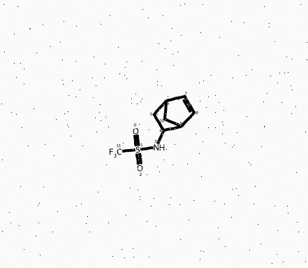 O=S(=O)(NC1CC2C=CC1C2)C(F)(F)F